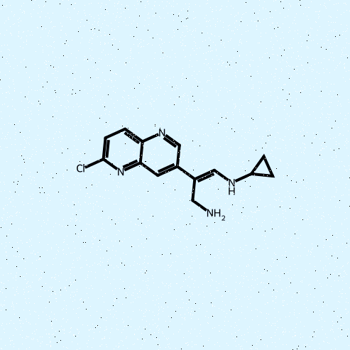 NC/C(=C\NC1CC1)c1cnc2ccc(Cl)nc2c1